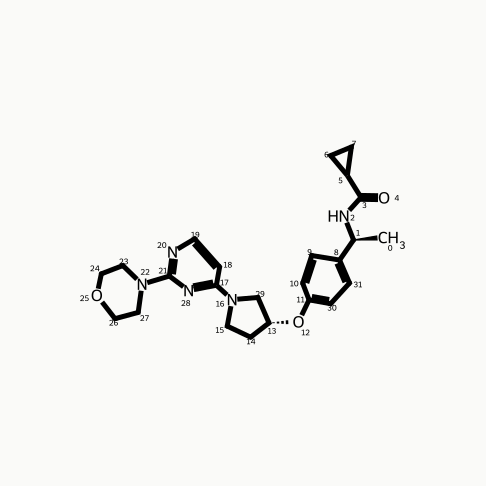 C[C@H](NC(=O)C1CC1)c1ccc(O[C@@H]2CCN(c3ccnc(N4CCOCC4)n3)C2)cc1